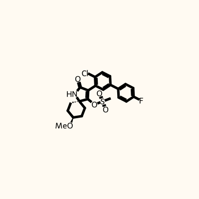 CO[C@H]1CC[C@]2(CC1)NC(=O)C(c1cc(-c3ccc(F)cc3)ccc1Cl)=C2OS(C)(=O)=O